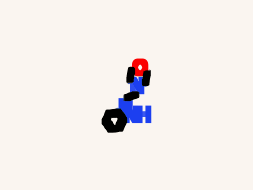 c1ccc2c(c1)[nH]n2CCN1CCOCC1